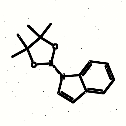 CC1(C)OB(n2ccc3ccccc32)OC1(C)C